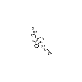 C#CCOCCNc1cccc2c1C(=O)N(C(C)CCC(=O)NC=O)C2=O